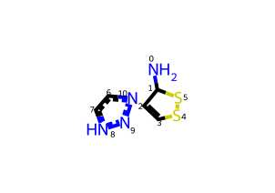 NC1C=CSS1.c1c[nH]nn1